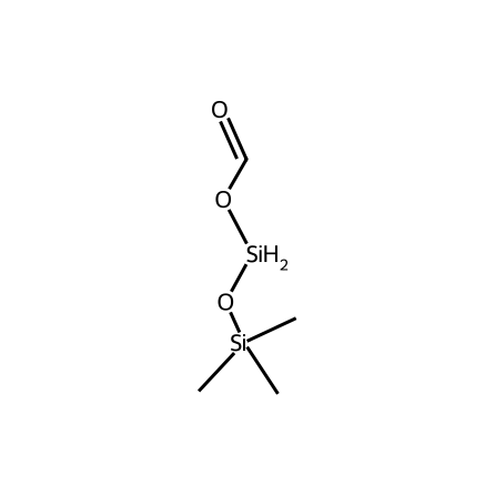 C[Si](C)(C)O[SiH2]OC=O